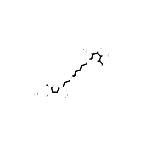 CNO[C@H]1[C@@H](OC)[C@H](CCCNC(=O)CCCCOC2OC(CO)C(O)C(O)C2NC(C)=O)O[C@@H]1CO